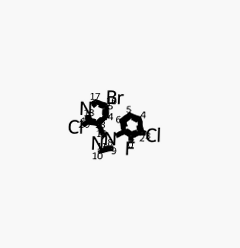 Fc1c(Cl)cccc1-n1ccnc1-c1cc(Br)cnc1Cl